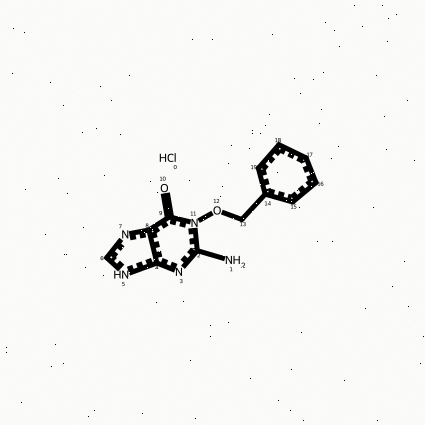 Cl.Nc1nc2[nH]cnc2c(=O)n1OCc1ccccc1